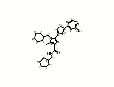 CCc1cc(-c2nc(-c3cc(C(=O)NCC4CCCCC4)c(C)n3CC3CCCCC3)cs2)ccn1